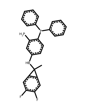 CC1(Bc2ccc(P(c3ccccc3)c3ccccc3)c(P)c2)c2cc(F)c(F)cc21